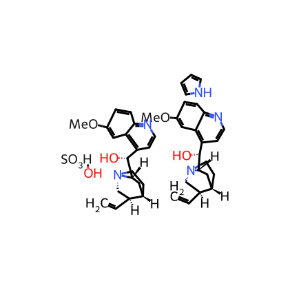 C=C[C@H]1C[N@]2CC[C@H]1C[C@H]2[C@H](O)c1ccnc2ccc(OC)cc12.C=C[C@H]1C[N@]2CC[C@H]1C[C@H]2[C@H](O)c1ccnc2ccc(OC)cc12.O=S(=O)(O)O.c1cc[nH]c1